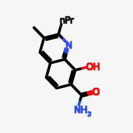 CCCc1nc2c(O)c(C(N)=O)ccc2cc1C